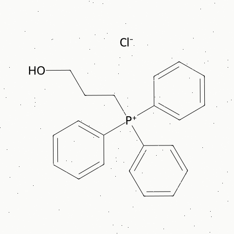 OCCC[P+](c1ccccc1)(c1ccccc1)c1ccccc1.[Cl-]